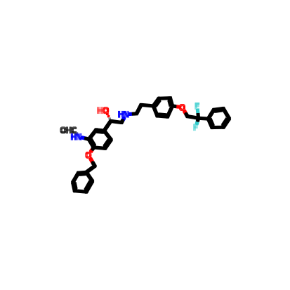 O=CNc1cc([C@H](O)CNCCc2ccc(OCC(F)(F)c3ccccc3)cc2)ccc1OCc1ccccc1